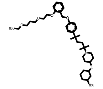 CC(C)(C)COCCCOCCOc1ccccc1COc1ccc(C(C)(C)CCC(C)(C)N2CCC(OC3CCCC(C(C)(C)C)C3)CC2)cc1